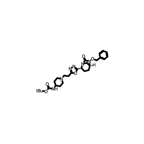 CC(C)(C)OC(=O)NC1CCN(CCc2nnc([C@@H]3CC[C@H]4CN3C(=O)N4OCc3ccccc3)o2)CC1